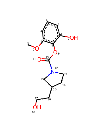 COc1cccc(O)c1OC(=O)N1CCC(CCO)C1